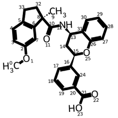 COc1ccc2c(c1)[C@](C)(C(=O)N[C@@H]1C[C@H](c3cccc(C(=O)O)c3)Oc3ccccc31)CC2